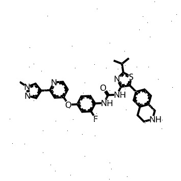 CC(C)c1nc(NC(=O)Nc2ccc(Oc3ccnc(-c4cnn(C)c4)c3)cc2F)c(-c2ccc3c(c2)CCNC3)s1